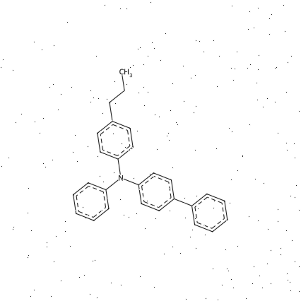 CCCc1ccc(N(c2ccccc2)c2ccc(-c3ccccc3)cc2)cc1